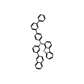 c1ccc(-c2cccc(-c3ccc(N(c4cccc(-c5ccc6ccccc6c5)c4)c4cccc5c4oc4ccccc45)cc3)c2)cc1